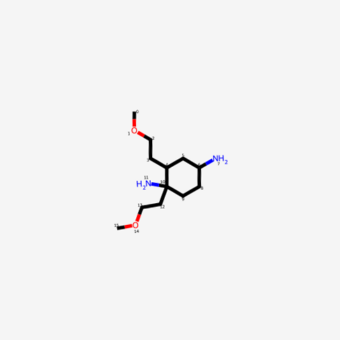 COCCC1CC(N)CCC1(N)CCOC